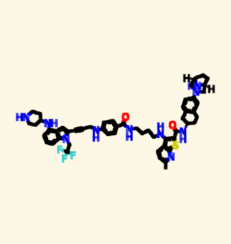 Cc1ccc2c(NCCCCNC(=O)c3ccc(NCC#Cc4cc5c(NC6CCNCC6)cccc5n4CC(F)(F)F)cc3)c(C(=O)N[C@H]3CCc4cc(N5C[C@H]6CC[C@@H](C5)N6)ccc4C3)sc2n1